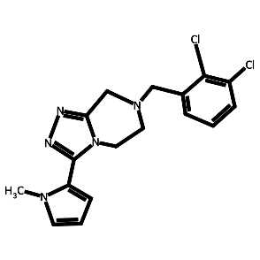 Cn1cccc1-c1nnc2n1CCN(Cc1cccc(Cl)c1Cl)C2